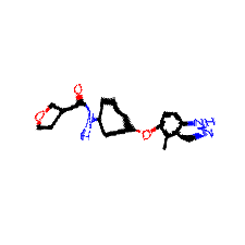 Cc1c(O[C@@H]2CCC[C@H](NC(=O)C3CCOC3)C2)ccc2[nH]ncc12